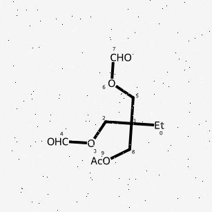 CCC(COC=O)(COC=O)COC(C)=O